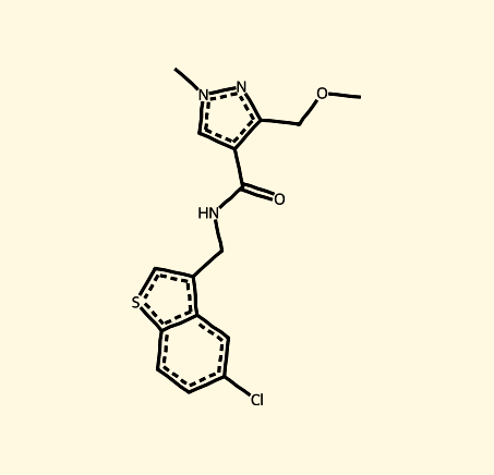 COCc1nn(C)cc1C(=O)NCc1csc2ccc(Cl)cc12